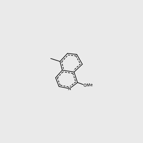 COc1nccc2c(C)cccc12